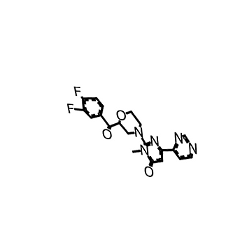 Cn1c(N2CCOC(C(=O)c3ccc(F)c(F)c3)C2)nc(-c2ccncn2)cc1=O